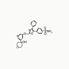 NS(=O)(=O)c1ccc(-c2oc(COc3cncc(C4(O)CCOCC4)c3)nc2-c2ccccc2)cc1